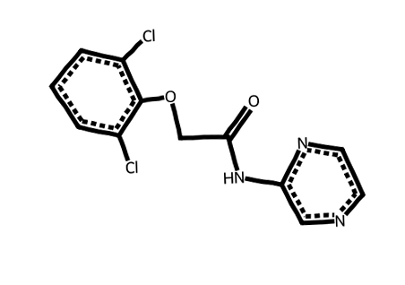 O=C(COc1c(Cl)cccc1Cl)Nc1cnccn1